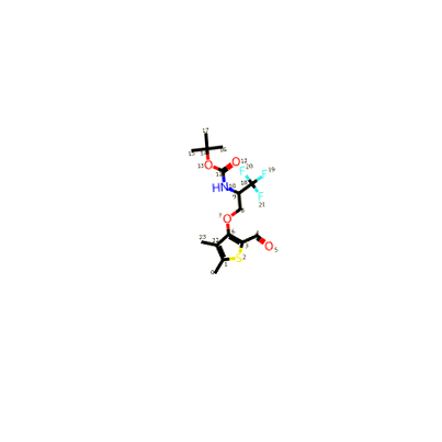 Cc1sc(C=O)c(OCC(NC(=O)OC(C)(C)C)C(F)(F)F)c1C